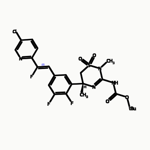 CN1C(NC(=O)OC(C)(C)C)=N[C@](C)(c2cc(/C=C(\F)c3ccc(Cl)cn3)cc(F)c2F)CS1(=O)=O